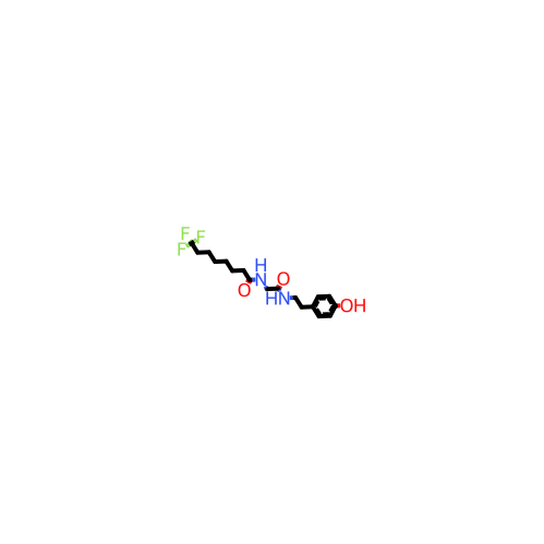 O=C(CCCCCCC(F)(F)F)NCC(=O)NCCc1ccc(O)cc1